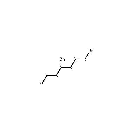 CCCCCCCBr.[Zn]